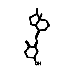 C=C1CCC(O)C/C1=C/C=C1\CCCC2(C)C(C)CCC12